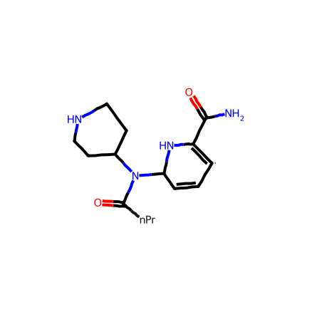 CCCC(=O)N(C1CCNCC1)C1C=C[C]=C(C(N)=O)N1